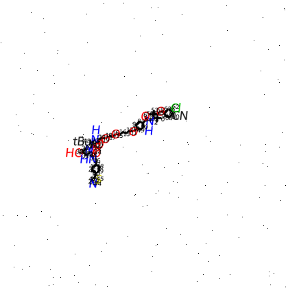 CC1(C)C(NC(=O)c2ccc(OCCCCOCCOCC(=O)N[C@H](C(=O)N3C[C@H](O)C[C@H]3C(=O)NCc3ccc(-c4cncs4)cc3)C(C)(C)C)cc2)C(C)(C)C1Oc1ccc(C#N)c(Cl)c1